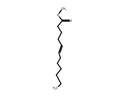 CCCCCC/C=C/CCCC(=O)OC